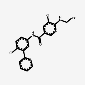 CC(C)CNc1ncc(C(=O)Nc2ccc(Cl)c(-c3ccccn3)c2)cc1Cl